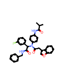 CC(C)C(=O)Nc1ccc(N(C(=O)Cc2coc3ccccc23)C(C(=O)NCc2ccccc2)c2cccc(F)c2)cc1